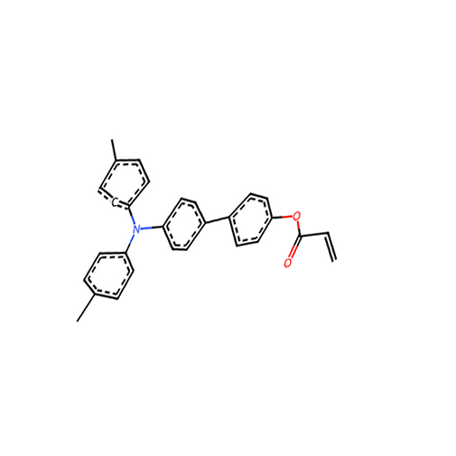 C=CC(=O)Oc1ccc(-c2ccc(N(c3ccc(C)cc3)c3ccc(C)cc3)cc2)cc1